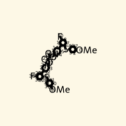 COc1ccc(Sc2ccc(F)cc2C2CCN(OC(=O)C(=O)ON3CCC(c4cc(F)ccc4Sc4ccc(OC)cc4)CC3)CC2)cc1